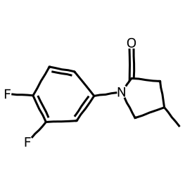 CC1CC(=O)N(c2ccc(F)c(F)c2)C1